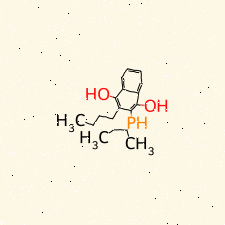 CCCCc1c(PC(C)CC)c(O)c2ccccc2c1O